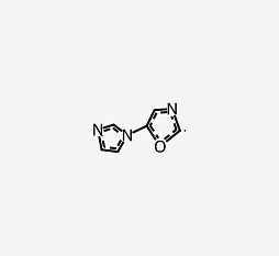 [c]1ncc(-n2ccnc2)o1